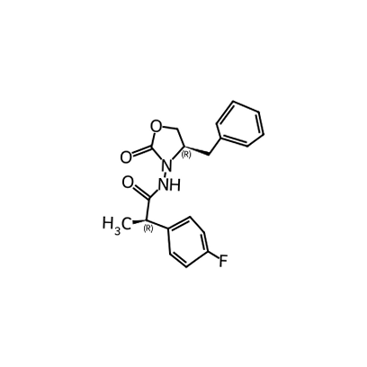 C[C@@H](C(=O)NN1C(=O)OC[C@H]1Cc1ccccc1)c1ccc(F)cc1